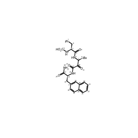 CC[C@H](C)C(NC(=O)[C@H](CC(C)C)NC(=O)O)C(=O)C(=O)N[C@@H](Cc1ccc2ccccc2c1)C(N)=O